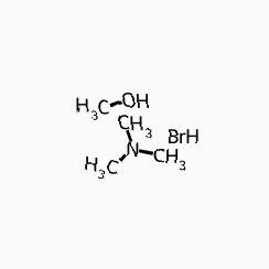 Br.CN(C)C.CO